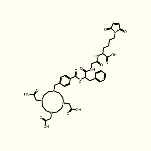 O=C(O)CN1CCN(CC(=O)O)CCN(Cc2ccc(C(=O)NC(Cc3ccccc3)C(=O)NCC(=O)NC(CCCCN3C(=O)C=CC3=O)C(=O)O)cc2)CCN(CC(=O)O)CC1